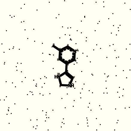 Cc1cncc(C2=CNCN2)c1